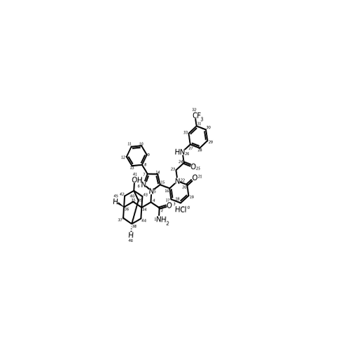 Cl.NC(=O)C(n1nc(-c2ccccc2)cc1-c1cccc(=O)n1CC(=O)Nc1cccc(C(F)(F)F)c1)C12C[C@@H]3C[C@@H](CC(O)(C3)C1)C2